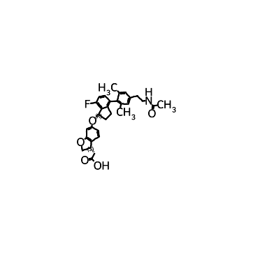 CC(=O)NCCc1cc(C)c(-c2ccc(F)c3c2CC[C@H]3Oc2ccc3c(c2)OC[C@H]3CC(=O)O)c(C)c1